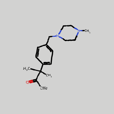 COC(=O)C(C)(C)c1ccc(CN2CCN(C)CC2)cc1